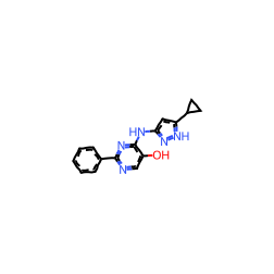 Oc1cnc(-c2ccccc2)nc1Nc1cc(C2CC2)[nH]n1